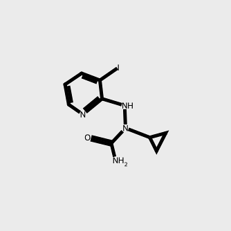 NC(=O)N(Nc1ncccc1I)C1CC1